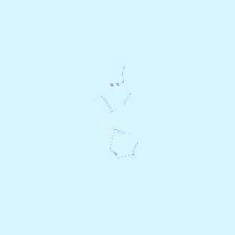 Cc1cc(N)ccc1Oc1ccc(F)cn1